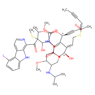 CC#C/C=C\C#C[C@H](OC1OC(C)C(SC)(C(=O)c2nccc3c2[nH]c2cccc(I)c23)C(O)C1OC1CC(OC)C(NC(C)C)CO1)C1=C(NC(=O)OC)C(=O)C[C@H](O)/C1=C/CSC(C)=O